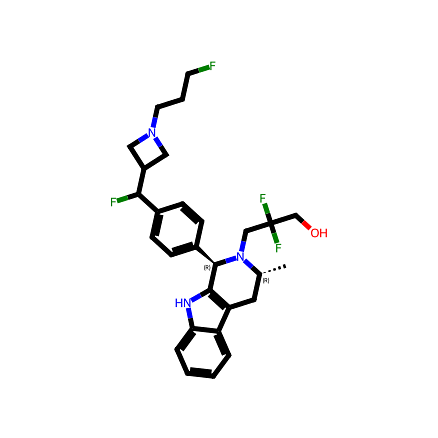 C[C@@H]1Cc2c([nH]c3ccccc23)[C@@H](c2ccc(C(F)C3CN(CCCF)C3)cc2)N1CC(F)(F)CO